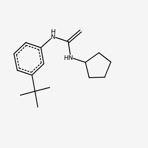 C=C(Nc1cccc(C(C)(C)C)c1)NC1CCCC1